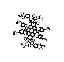 C=CC(=O)OC1CCCC(OC(=O)C(CC(F)(F)F)N2C(=O)c3cc(Oc4ccc(C(C)C)cc4C)c4c5c(Oc6ccc(C(C)C)cc6C)cc6c7c(cc(Oc8ccc(C(C)C)cc8C)c(c8c(Oc9ccc(C(C)C)cc9C)cc(c3c48)C2=O)c75)C(=O)N(C(CC(F)(F)F)C(=O)OC2CCCC(OC(=O)C=C)C2)C6=O)C1